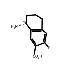 N[C@@H]1CCCc2cc(F)c(C(=O)O)cc21